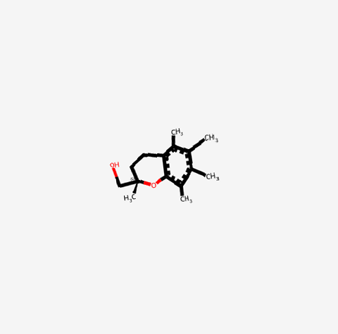 Cc1c(C)c(C)c2c(c1C)CC[C@@](C)(CO)O2